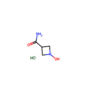 Cl.NC(=O)C1CN(O)C1